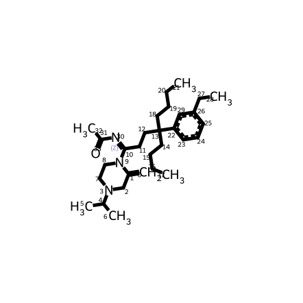 C=C1CN(C(C)C)CCN1/C(CCC(CCCC)(CCCC)c1cccc(CC)c1)=N\C(C)=O